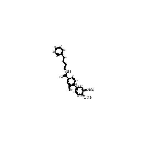 CCCCCc1cc(C(=O)NCCCCc2cccnc2)ccc1-c1ccc(OC)c(OC)c1